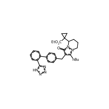 CCCCc1c(Cc2ccc(-c3ccccc3-c3nnn[nH]3)cc2)c(=O)n2n1CCCC2C1(C(=O)OCC)CC1